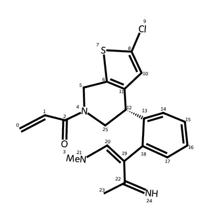 C=CC(=O)N1Cc2sc(Cl)cc2[C@H](c2ccccc2/C(=C/NC)C(C)=N)C1